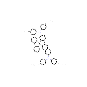 COc1ccc(N(c2ccc(OC)cc2)c2ccc3c(c2)C2(c4ccccc4-c4ccccc42)c2cc4cc(N(c5ccc(OC)cc5)c5ccc(OC)cc5)ccc4cc2-3)cc1